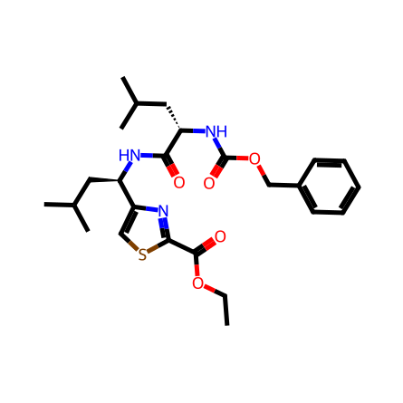 CCOC(=O)c1nc([C@@H](CC(C)C)NC(=O)[C@H](CC(C)C)NC(=O)OCc2ccccc2)cs1